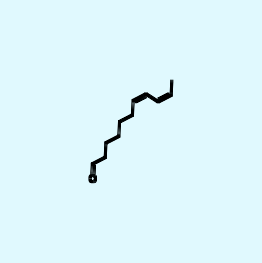 C/C=C\C=C/CCCCCC=O